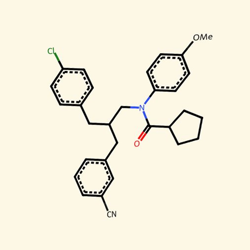 COc1ccc(N(CC(Cc2ccc(Cl)cc2)Cc2cccc(C#N)c2)C(=O)C2CCCC2)cc1